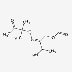 CC(=N)/C(COC=O)=N/OC(C)(C)C(C)=O